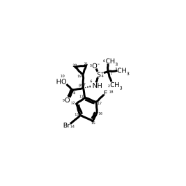 CC(C)(C)[S+]([O-])N[C@@](C(=O)O)(c1cc(Br)ccc1F)C1CC1